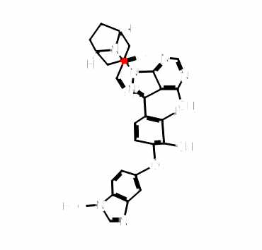 C=CC(=O)N1[C@@H]2CC[C@H]1CC(n1nc(-c3ccc(Oc4ccc5c(c4)ncn5C)c(C)c3F)c3c(C)ncnc31)C2